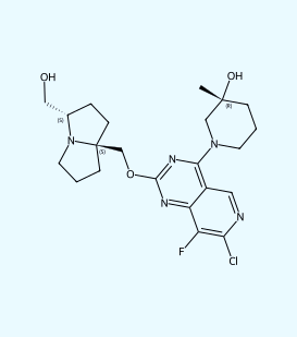 C[C@@]1(O)CCCN(c2nc(OC[C@@]34CCCN3[C@H](CO)CC4)nc3c(F)c(Cl)ncc23)C1